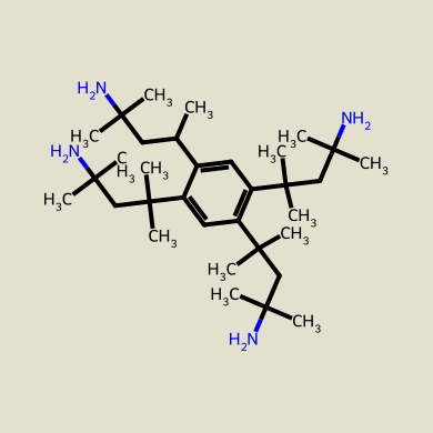 CC(CC(C)(C)N)c1cc(C(C)(C)CC(C)(C)N)c(C(C)(C)CC(C)(C)N)cc1C(C)(C)CC(C)(C)N